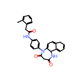 Cc1ccccc1CC(=O)Nc1ccc(N2C(=O)CC(=O)NC3C4=CC=CCC4=CC=C32)cc1